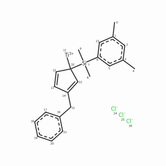 Cc1cc(C)cc([Si](C)(C)[C]2([Ti+3])C=CC(Cc3ccccc3)=C2)c1.[Cl-].[Cl-].[Cl-]